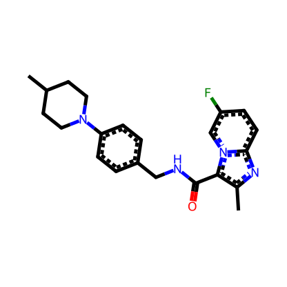 Cc1nc2ccc(F)cn2c1C(=O)NCc1ccc(N2CCC(C)CC2)cc1